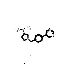 CN(C)C1CCN(Cc2ccc(-c3cncnc3)cc2)C1